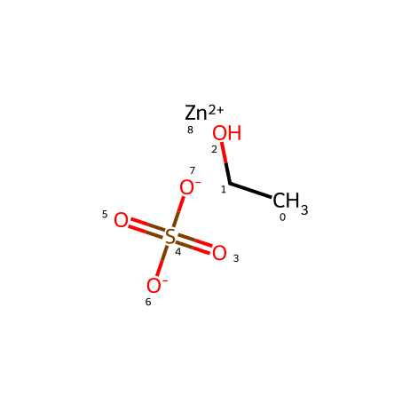 CCO.O=S(=O)([O-])[O-].[Zn+2]